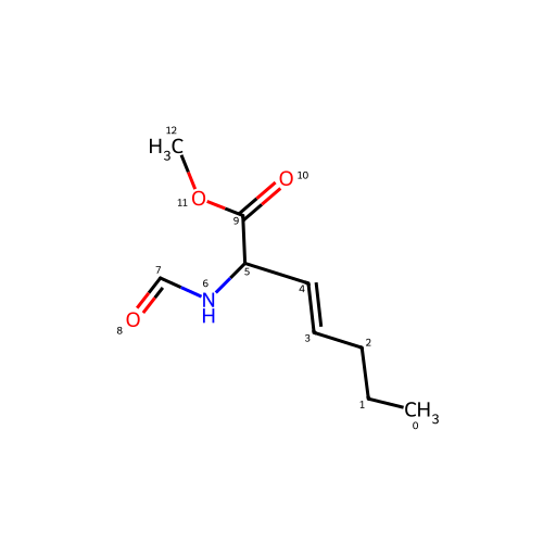 CCC/C=C/C(NC=O)C(=O)OC